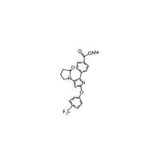 COC(=O)c1ccc(-c2nc(Oc3ccc(C(F)(F)F)cc3)sc2N2CCCC2=O)cc1